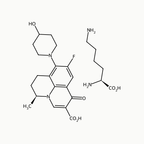 C[C@H]1CCc2c(N3CCC(O)CC3)c(F)cc3c(=O)c(C(=O)O)cn1c23.NCCCC[C@H](N)C(=O)O